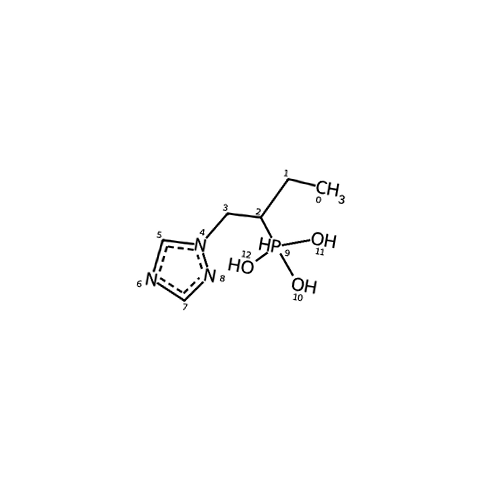 CCC(Cn1cncn1)[PH](O)(O)O